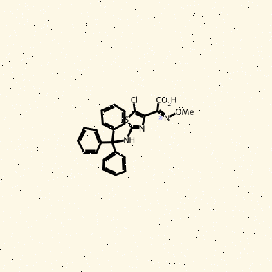 CO/N=C(\C(=O)O)c1nc(NC(c2ccccc2)(c2ccccc2)c2ccccc2)sc1Cl